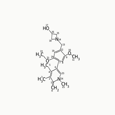 C=C1C(C)=C(C)C(c2cc(OC)c(CN3CC(O)C3)cc2OC)=CN1C